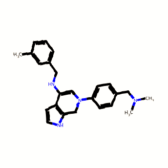 Cc1cccc(CNC2=CN(c3ccc(CN(C)C)cc3)Cc3[nH]ccc32)c1